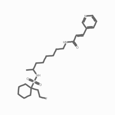 CC(CCCCCCNC(=O)/C=C/c1cccnc1)NS(=O)(=O)C1(CCF)CCCCC1